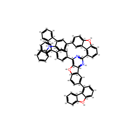 c1ccc(-c2ccc(-c3nc(-c4cccc5oc6ccc(-c7ccc8c(c7)c7ccccc7n8-c7ccccc7)cc6c45)nc4c3oc3ccc(-c5cccc6oc7ccccc7c56)cc34)cc2)cc1